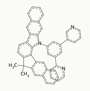 CC1(C)c2cc3ccccc3cc2-c2c1ccc1c3cc4ccccc4cc3n(-c3cc(-c4cccnc4)cc(-c4ccccn4)c3)c21